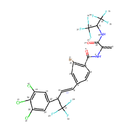 C=C(NC(=O)c1ccc(/C=C/C(c2cc(Cl)c(Cl)c(Cl)c2)C(F)(F)F)cc1Br)C(=O)NC(C(F)(F)F)C(F)(F)F